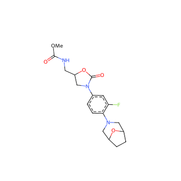 COC(=O)NCC1CN(c2ccc(N3CC4CCC(C3)O4)c(F)c2)C(=O)O1